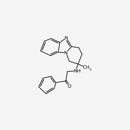 CC1(NCC(=O)c2ccccc2)CCc2nc3ccccc3n2C1